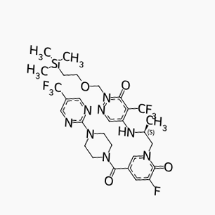 C[C@@H](Cn1cc(C(=O)N2CCN(c3ncc(C(F)(F)F)cn3)CC2)cc(F)c1=O)Nc1cnn(COCC[Si](C)(C)C)c(=O)c1C(F)(F)F